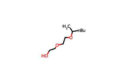 [CH2]C(CCCC)OCCOCCO